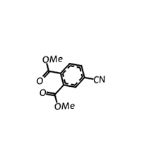 COC(=O)c1ccc(C#N)cc1C(=O)OC